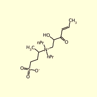 CC=CC(=O)C(O)C[N+](CCC)(CCC)C(C)CCS(=O)(=O)[O-]